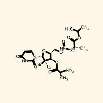 CC(C)OC(=O)[C@H](C)N[PH](=O)OC[C@H]1O[C@@H](n2ccc(=O)[nH]c2=O)[C@](Cl)(Br)[C@@H]1OC(=O)[C@H](C)N